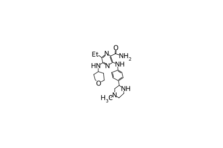 CCc1nc(C(N)=O)c(Nc2ccc(C3CN(C)CCN3)cc2)nc1NC1CCOCC1